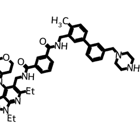 CCc1nc2c(cnn2CC)c(NC2CCOCC2)c1CNC(=O)c1cccc(C(=O)NCc2cc(-c3cccc(CN4CCNCC4)c3)ccc2C)c1